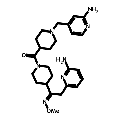 CO/N=C(\Cc1cccc(N)n1)C1CCN(C(=O)C2CCN(Cc3ccnc(N)c3)CC2)CC1